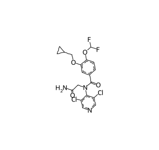 NC(=O)CN(C(=O)c1ccc(OC(F)F)c(OCC2CC2)c1)c1c(Cl)cncc1Cl